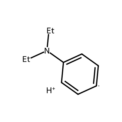 CCN(CC)c1cc[c]cc1.[H+]